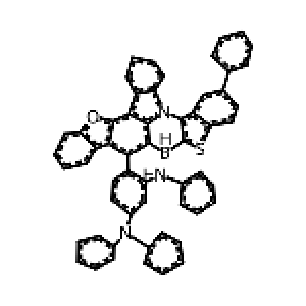 B1c2sc3ccc(-c4ccccc4)cc3c2-n2c3ccccc3c3c4oc5ccccc5c4c(-c4ccc(N(c5ccccc5)c5ccccc5)cc4Nc4ccccc4)c1c32